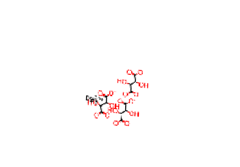 O=C([O-])C(O)C(O)C(=O)[O-].O=C([O-])C(O)C(O)C(=O)[O-].O=C([O-])C(O)C(O)C(=O)[O-].[Dy+3].[Dy+3]